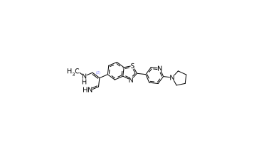 CN/C=C(\C=N)c1ccc2sc(-c3ccc(N4CCCC4)nc3)nc2c1